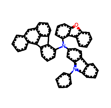 c1ccc(-n2c3ccccc3c3ccc(N(c4cccc5c4-c4cccc6cc7ccccc7c-5c46)c4cccc5oc6ccccc6c45)cc32)cc1